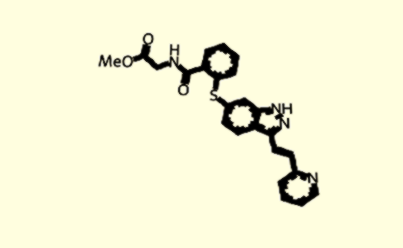 COC(=O)CNC(=O)c1ccccc1Sc1ccc2c(/C=C/c3ccccn3)n[nH]c2c1